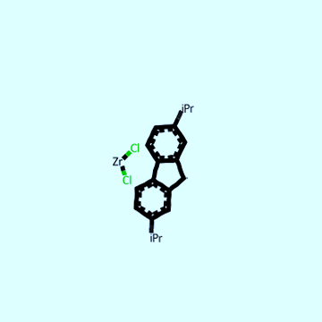 CC(C)c1ccc2c(c1)[CH]c1cc(C(C)C)ccc1-2.[Cl][Zr][Cl]